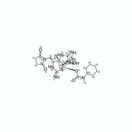 CN(C(=O)O[C@H]1CN2C(=N)N[C@@H](CN3C(=O)CCC3=O)[C@@H]3NC(=N)N[C@@]32C1(O)O)C1CCCCC1